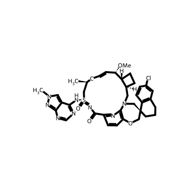 CO[C@H]1/C=C/C[C@H](C)C[S@@](=O)(Nc2ncnc3nn(C)cc23)=NC(=O)c2ccc3c(n2)N(C[C@@H]2CC[C@H]21)C[C@@]1(CCCc2cc(Cl)ccc21)CO3